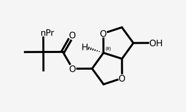 CCCC(C)(C)C(=O)OC1COC2C(O)CO[C@H]12